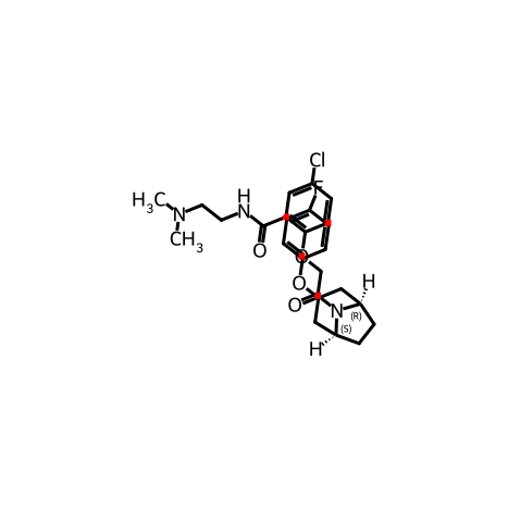 CN(C)CCNC(=O)c1cc(Cl)ccc1OCC(=O)N1[C@@H]2CC[C@H]1CC(Oc1ccc(F)cc1)C2